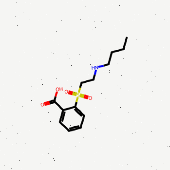 CCCCNCCS(=O)(=O)c1ccccc1C(=O)O